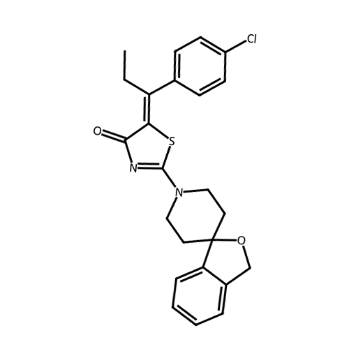 CC/C(=C1/SC(N2CCC3(CC2)OCc2ccccc23)=NC1=O)c1ccc(Cl)cc1